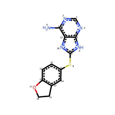 Nc1ncnc2[nH]c(Sc3ccc4c(c3)CCO4)nc12